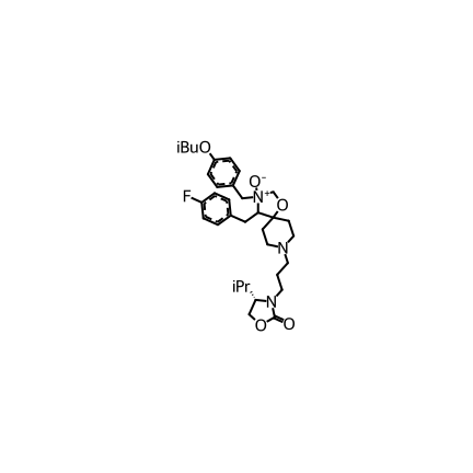 CC(C)COc1ccc(C[N+]2([O-])COC3(CCN(CCCN4C(=O)OC[C@@H]4C(C)C)CC3)C2Cc2ccc(F)cc2)cc1